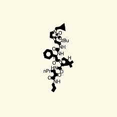 C=CCNC(=O)C(=O)C(CCC)NC(=O)[C@@H]1C2[C@H](CN1C(=O)[C@@H](NC(=O)N[C@H](CN1CCN(CC3CC3)S1(=O)=O)C(C)(C)C)C1CCCCC1)C2(C)C